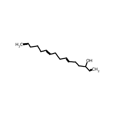 C=CCCC/C=C/CC/C=C/CCC(O)C=C